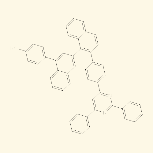 N#Cc1ccc(-c2cc(-c3c(-c4ccc(-c5cc(-c6ccccc6)nc(-c6ccccc6)n5)cc4)ccc4ccccc34)cc3ccccc23)cc1